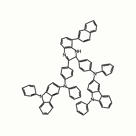 c1ccc(N(c2ccc(C3=Nc4cccc(-c5ccc6ccccc6c5)c4NC3c3ccc(N(c4ccccc4)c4ccc5c(c4)c4ccccc4n5-c4ccccc4)cc3)cc2)c2ccc3c(c2)c2ccccc2n3-c2ccccc2)cc1